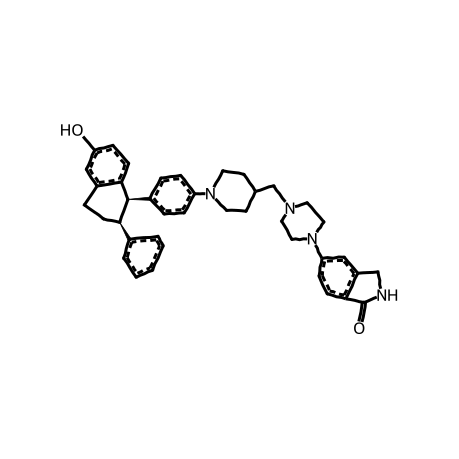 O=C1NCc2cc(N3CCN(CC4CCN(c5ccc([C@@H]6c7ccc(O)cc7CC[C@@H]6c6ccccc6)cc5)CC4)CC3)ccc21